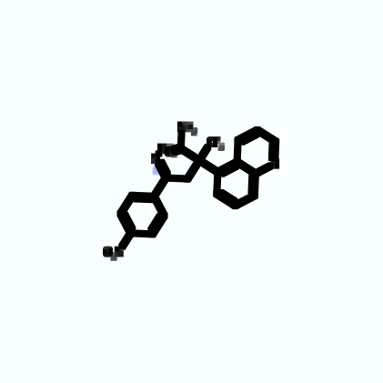 N/N=C(\CC(C(N)=O)(c1cccc2ncccc12)C(F)(F)F)c1ccc([N+](=O)[O-])cc1